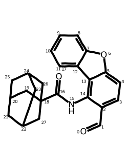 O=Cc1ccc2oc3ccccc3c2c1NC(=O)C12CC3CC(CC(C3)C1)C2